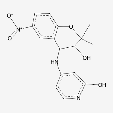 CC1(C)Oc2ccc([N+](=O)[O-])cc2C(Nc2ccnc(O)c2)C1O